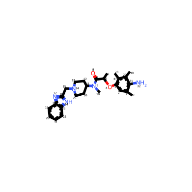 Cc1cc(OC(C)C(=O)N(C)C2CCN(Cc3nc4ccccc4[nH]3)CC2)c(C)c(C)c1N